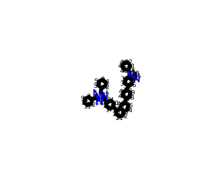 c1ccc(-c2nc(-c3ccccc3)nc(-c3ccc(-c4cccc5ccc(-c6ccc(-c7ccc8c(c7)ncn8-c7ccccc7)cc6)cc45)cc3)n2)cc1